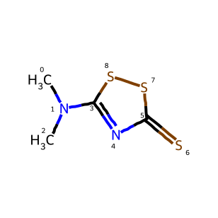 CN(C)c1nc(=S)ss1